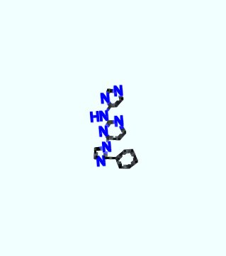 c1ccc(-c2nccn2-c2ccnc(Nc3ccncn3)n2)cc1